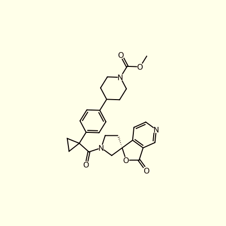 COC(=O)N1CCC(c2ccc(C3(C(=O)N4CC[C@@]5(C4)OC(=O)c4cnccc45)CC3)cc2)CC1